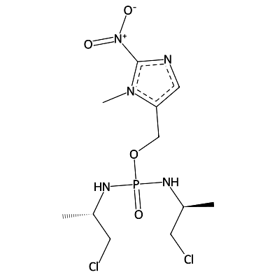 C[C@@H](CCl)NP(=O)(N[C@@H](C)CCl)OCc1cnc([N+](=O)[O-])n1C